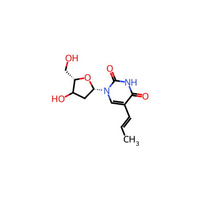 CC=Cc1cn([C@@H]2CC(O)[C@H](CO)O2)c(=O)[nH]c1=O